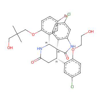 CC(C)(CO)COc1ccc(Br)cc1[C@H]1NC(=O)C[C@@H](c2cc(Cl)ccc2OCCO)[C@]12C(=O)Nc1cc(Cl)ccc12